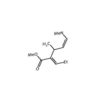 CC/C=C(/C(=O)OC)C(C)/C=C\NC